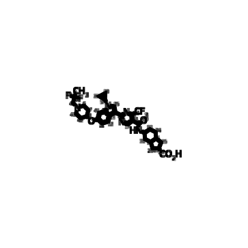 CC(F)(F)CN1CCC(Oc2ccc3c(-c4ncc(C(=O)NC5CCC6CC(C(=O)O)CC6C5)c(C(F)(F)F)n4)cn(C4CC4)c3c2)CC1